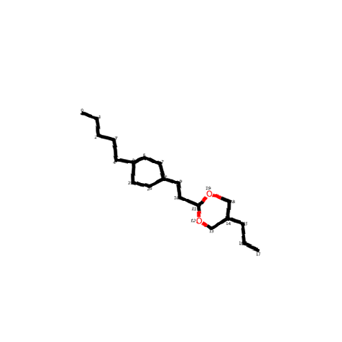 CCCCCC1CCC(CCC2OCC(CCC)CO2)CC1